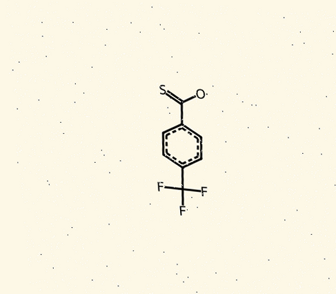 [O]C(=S)c1ccc(C(F)(F)F)cc1